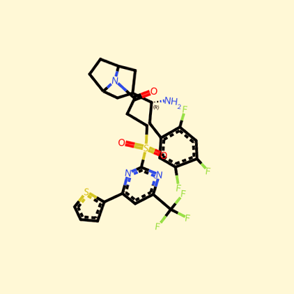 N[C@H](Cc1cc(F)c(F)cc1F)C1CC2CCC(C1)N2C(=O)CCS(=O)(=O)c1nc(-c2cccs2)cc(C(F)(F)F)n1